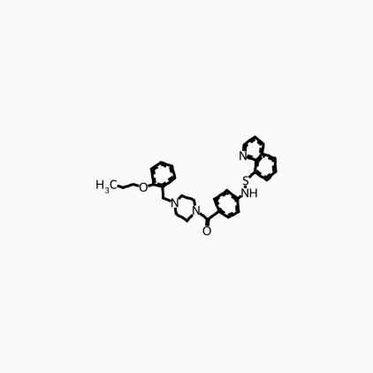 CCCOc1ccccc1CN1CCN(C(=O)c2ccc(NSc3cccc4cccnc34)cc2)CC1